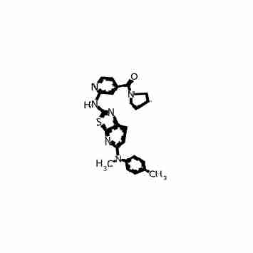 Cc1ccc(N(C)c2ccc3nc(Nc4cc(C(=O)N5C[CH]CC5)ccn4)sc3n2)cc1